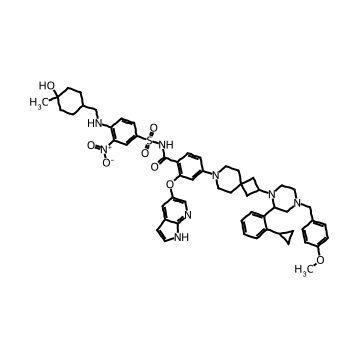 COc1ccc(CN2CCN(C3CC4(CCN(c5ccc(C(=O)NS(=O)(=O)c6ccc(NCC7CCC(C)(O)CC7)c([N+](=O)[O-])c6)c(Oc6cnc7[nH]ccc7c6)c5)CC4)C3)C(c3ccccc3C3CC3)C2)cc1